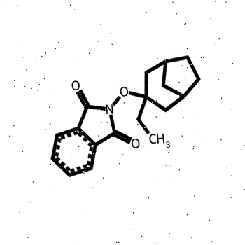 CCC1(ON2C(=O)c3ccccc3C2=O)CC2CCC(C2)C1